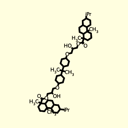 CC(C)C1CCC2C(CCC3C(C)(C(=O)OCC(O)COC4CCC(C(C)(C)C5CCC(OCC(O)COC(=O)C6(C)CCCC7(C)C8CCC(C(C)C)CC8CCC67)CC5)CC4)CCCC23C)C1